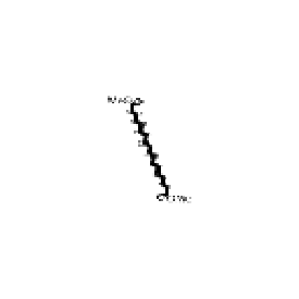 COC(=O)CCCCCCCC=CCCCCCCCC(=O)OC